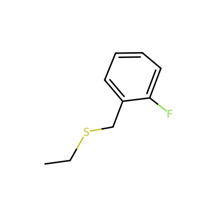 CCSCc1ccccc1F